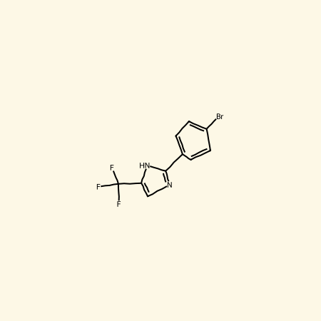 FC(F)(F)c1cnc(-c2ccc(Br)cc2)[nH]1